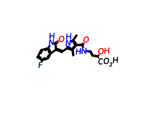 Cc1[nH]c(/C=C2\C(=O)Nc3ccc(F)cc32)c(C)c1C(=O)NCC[C@H](O)C(=O)O